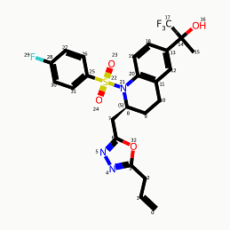 C=CCc1nnc(C[C@@H]2CCc3cc(C(C)(O)C(F)(F)F)ccc3N2S(=O)(=O)c2ccc(F)cc2)o1